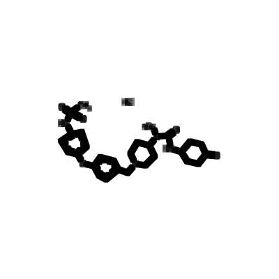 CCCCN(C(=O)NC1CCC(=O)CC1)C1CCN(Cc2ccc(Oc3ccc(NS(C)(=O)=O)cc3)cc2)CC1.Cl